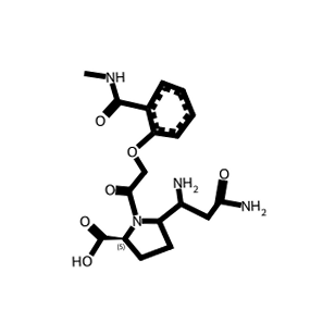 CNC(=O)c1ccccc1OCC(=O)N1C(C(N)CC(N)=O)CC[C@H]1C(=O)O